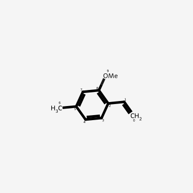 C=Cc1ccc(C)cc1OC